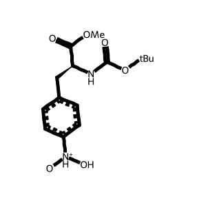 COC(=O)[C@H](Cc1ccc([NH+]([O-])O)cc1)NC(=O)OC(C)(C)C